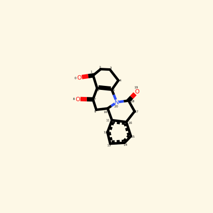 O=C1CCCC2=C1C(=O)CC1c3ccccc3CC(=O)N21